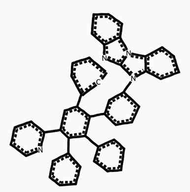 c1ccc(-c2cc(-c3ccccn3)c(-c3ccccc3)c(-c3ccccc3)c2-c2cccc(-n3c4ccccc4n4c5ccccc5nc34)c2)cc1